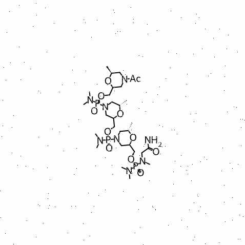 CC(=O)N1CC(COP(=O)(N(C)C)N2CC(COP(=O)(N(C)C)N3CC(COP(=O)(N(C)C)N(C)CC(N)=O)O[C@@H](C)C3)O[C@@H](C)C2)O[C@@H](C)C1